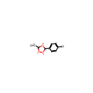 CCc1ccc(C2OOC(C=O)O2)cc1